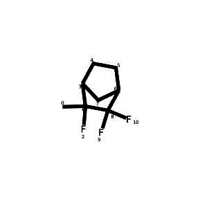 CC1(F)C2CCC(C2)C1(F)F